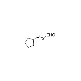 O=[C]SOC1CCCC1